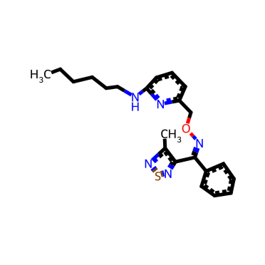 CCCCCCNc1cccc(CO/N=C(/c2ccccc2)c2nsnc2C)n1